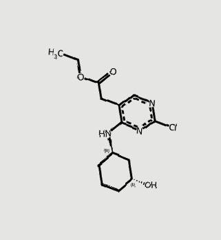 CCOC(=O)Cc1cnc(Cl)nc1N[C@@H]1CCC[C@@H](O)C1